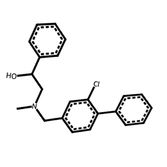 CN(Cc1ccc(-c2ccccc2)c(Cl)c1)CC(O)c1ccccc1